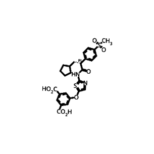 CS(=O)(=O)c1ccc([C@@H](CC2CCCC2)C(=O)Nc2ncc(Oc3cc(C(=O)O)cc(C(=O)O)c3)s2)cc1